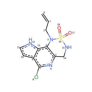 C=CCN1c2c(nc(Cl)c3cc[nH]c23)CNS1(=O)=O